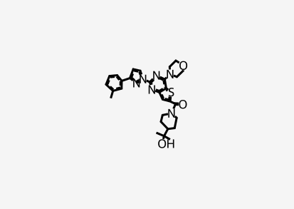 Cc1cccc(-c2ccn(-c3nc(N4CCOCC4)c4sc(C(=O)N5CCC(C(C)(C)O)CC5)cc4n3)n2)c1